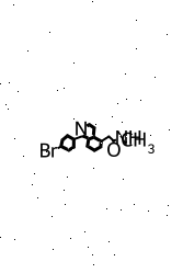 CNC(=O)Cc1cccc2c(-c3ccc(Br)cc3)nccc12